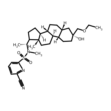 CCOC[C@@]1(O)CC[C@H]2[C@H](CC[C@@H]3[C@@H]2CC[C@]2(C)C([C@@H](C)N(C)S(=O)(=O)c4cccc(C#N)n4)CC[C@@H]32)C1